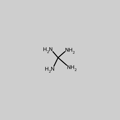 NC(N)(N)N